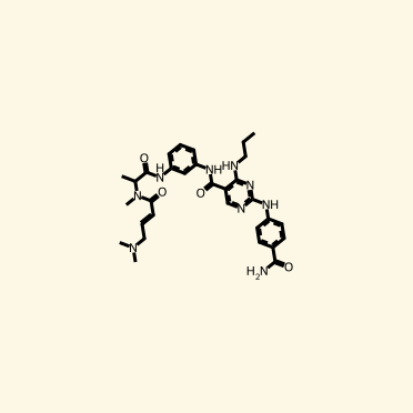 CCCNc1nc(Nc2ccc(C(N)=O)cc2)ncc1C(=O)Nc1cccc(NC(=O)C(C)N(C)C(=O)/C=C/CN(C)C)c1